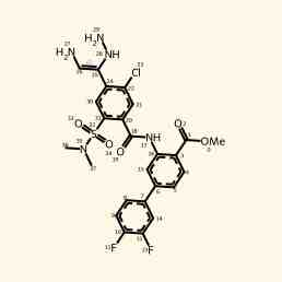 COC(=O)c1ccc(-c2ccc(F)c(F)c2)cc1NC(=O)c1cc(Cl)c(/C(=C/N)NN)cc1S(=O)(=O)N(C)C